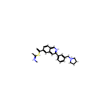 C=C(S/C(C)=N\C)c1ccc2cnc(-c3cccc(CN4CCCC4)c3)cc2c1